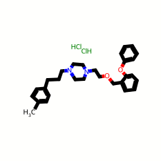 Cc1ccc(CCCN2CCN(CCOCc3ccccc3Oc3ccccc3)CC2)cc1.Cl.Cl